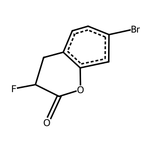 O=C1Oc2cc(Br)ccc2CC1F